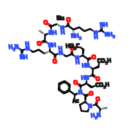 CC[C@H](C)[C@H](NC(=O)[C@@H](N)CCCNC(=N)N)C(=O)N[C@@H](C)C(=O)N[C@@H](CCCNC(=N)N)C(=O)NCC(=O)N[C@@H](CC(=O)O)C(=O)N[C@@H](CC(=O)O)C(=O)N[C@@H](CC(=O)O)C(=O)N([C](C(C)=O)c1ccccc1)C(=O)[C@@H]1CCCN1C(=O)[C@H](C)N